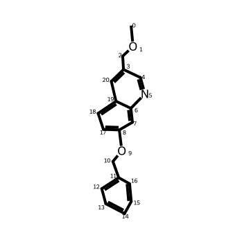 COCc1cnc2cc(OCc3ccccc3)ccc2c1